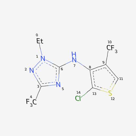 CCn1nc(C(F)(F)F)nc1Nc1c(C(F)(F)F)csc1Cl